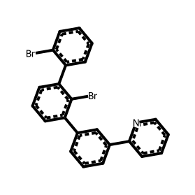 Brc1ccccc1-c1cccc(-c2cccc(-c3ccccn3)c2)c1Br